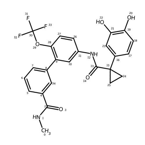 CNC(=O)c1cccc(-c2cc(NC(=O)C3(c4ccc(O)c(O)c4)CC3)ccc2OC(F)(F)F)c1